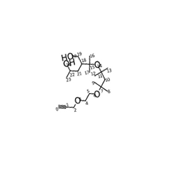 C#CCOCCOC(C)(C)CC(C)(C)OC(C)(C)C(CO)CC(C)O